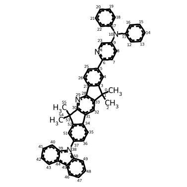 CC1(C)c2cc(-c3ccc(N(c4ccccc4)c4ccccc4)cn3)ccc2-c2nc3c(cc21)-c1ccc(-n2c4ccccc4c4ccccc42)cc1C3(C)C